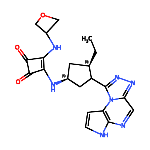 CC[C@@H]1C[C@H](Nc2c(NC3COC3)c(=O)c2=O)CC1c1nnc2cnc3[nH]ccc3n12